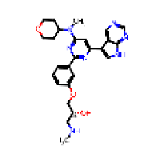 CNC[C@@H](O)COc1cccc(-c2nc(-c3c[nH]c4ncncc34)cc(N(C)C3CCOCC3)n2)c1